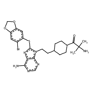 CC(C)(N)C(=O)N1CCC(CCn2c(Sc3cc4c(cc3Br)OCO4)nc3c(N)ncnc32)CC1